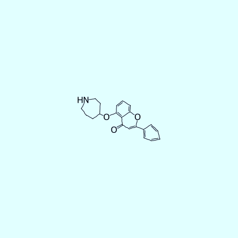 O=c1cc(-c2ccccc2)oc2cccc(OC3CCCNCC3)c12